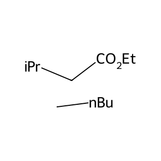 CCCCC.CCOC(=O)CC(C)C